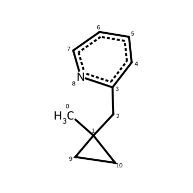 CC1(Cc2ccccn2)CC1